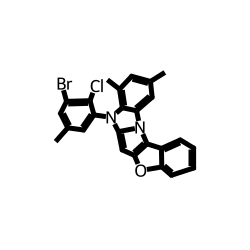 Cc1cc(Br)c(Cl)c(-n2c3c(C)cc(C)cc3n3c4c(cc23)oc2ccccc24)c1